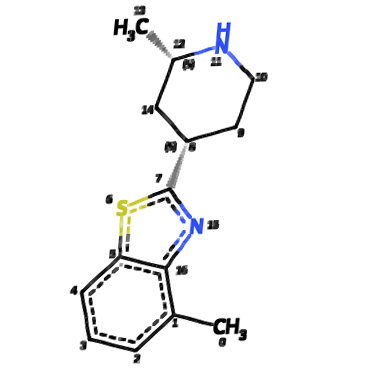 Cc1cccc2sc([C@H]3CCN[C@@H](C)C3)nc12